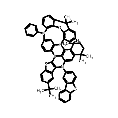 CC(C)(C)c1ccc2sc3c(c2c1)N(c1ccc2sc4ccccc4c2c1)c1cc2c(c4c1B3c1ccc3cc1N4c1cccc4c1Oc1c(cccc1C4(C)C)N3c1ccccc1)C(C)(C)CCC2(C)C